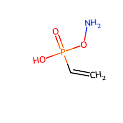 C=CP(=O)(O)ON